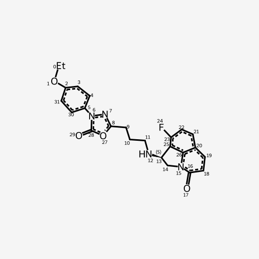 CCOc1ccc(-n2nc(CCCN[C@@H]3Cn4c(=O)ccc5ccc(F)c3c54)oc2=O)cc1